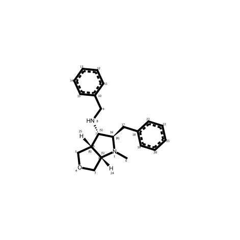 CN1[C@@H]2COC[C@@H]2[C@H](NCc2ccccc2)[C@H]1Cc1ccccc1